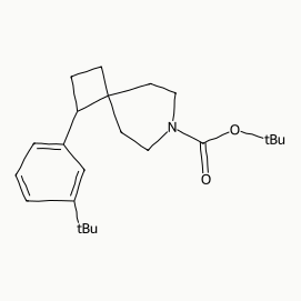 CC(C)(C)OC(=O)N1CCC2(CCC2c2cccc(C(C)(C)C)c2)CC1